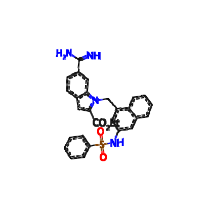 CCOC(=O)c1cc2ccc(C(=N)N)cc2n1Cc1cc(NS(=O)(=O)c2ccccc2)cc2ccccc12